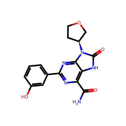 NC(=O)c1nc(-c2cccc(O)c2)nc2c1[nH]c(=O)n2[C@H]1CCOC1